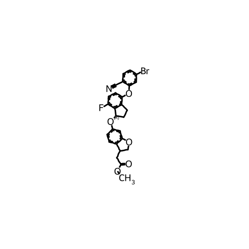 COC(=O)CC1COc2cc(O[C@@H]3CCc4c(Oc5cc(Br)ccc5C#N)ccc(F)c43)ccc21